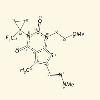 CN/N=C/c1sc2c(c1C)c(=O)n(C1(C(F)(F)F)CC1)c(=O)n2CCOC